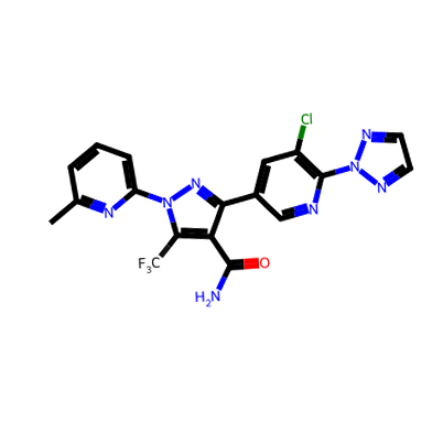 Cc1cccc(-n2nc(-c3cnc(-n4nccn4)c(Cl)c3)c(C(N)=O)c2C(F)(F)F)n1